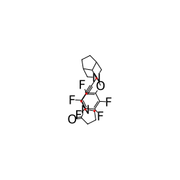 O=C1CCCN1CC#CCC1C2CCC1CN(Oc1c(F)c(F)c(F)c(F)c1F)C2